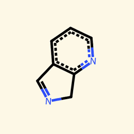 C1=NCc2ncccc21